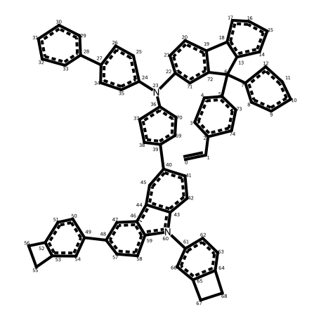 C=Cc1ccc(C2(c3ccccc3)c3ccccc3-c3ccc(N(c4ccc(-c5ccccc5)cc4)c4ccc(-c5ccc6c(c5)c5cc(-c7ccc8c(c7)CC8)ccc5n6-c5ccc6c(c5)CC6)cc4)cc32)cc1